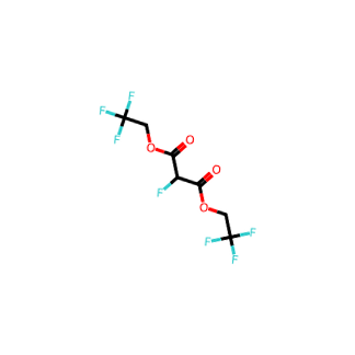 O=C(OCC(F)(F)F)C(F)C(=O)OCC(F)(F)F